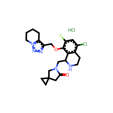 Cl.O=C1CC2(CC2)CN1CC1NCCc2c(Cl)cc(F)c(OCc3nnn4c3CCCC4)c21